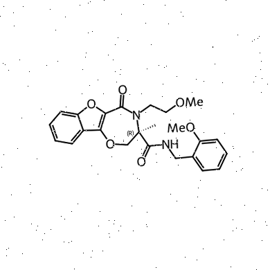 COCCN1C(=O)c2oc3ccccc3c2OC[C@]1(C)C(=O)NCc1ccccc1OC